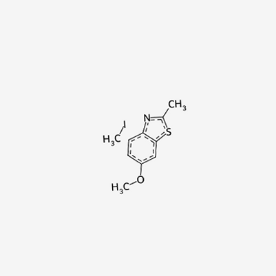 CI.COc1ccc2nc(C)sc2c1